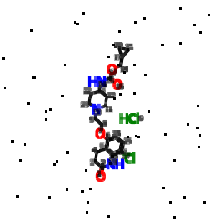 Cl.O=C1CCc2c(OCCN3CCC(NC(=O)OCC4CC4)CC3)ccc(Cl)c2N1